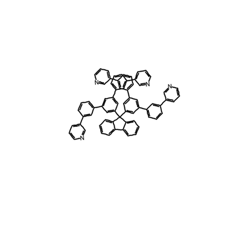 c1cncc(-c2cccc(-c3cc(-c4cccc(-c5cccnc5)c4)cc(C4(c5cc(-c6cccc(-c7cccnc7)c6)cc(-c6cccc(-c7cccnc7)c6)c5)c5ccccc5-c5ccccc54)c3)c2)c1